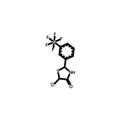 O=C1NC(c2cccc(S(F)(F)(F)(F)F)c2)SC1Cl